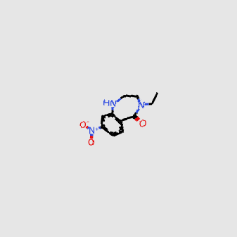 CCN1CCNc2cc([N+](=O)[O-])ccc2C1=O